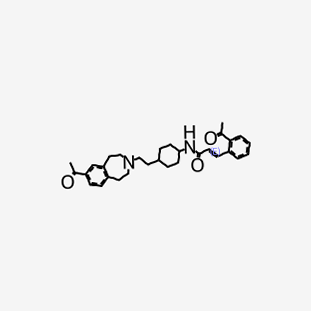 CC(=O)c1ccc2c(c1)CCN(CCC1CCC(NC(=O)/C=C/c3ccccc3C(C)=O)CC1)CC2